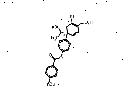 CCCCc1ccc(C(=O)Oc2ccc([C@]3(C(C)CCCC)C=CC(C(=O)O)=C(CC)C3)cc2)cc1